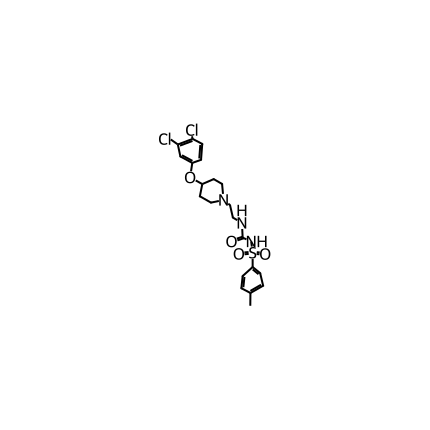 Cc1ccc(S(=O)(=O)NC(=O)NCCN2CCC(Oc3ccc(Cl)c(Cl)c3)CC2)cc1